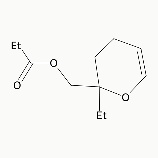 CCC(=O)OCC1(CC)CCC=CO1